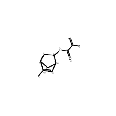 C=C(C)C(=O)OC1CC2CC1C=C2C